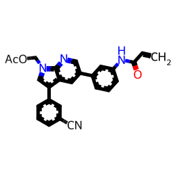 C=CC(=O)Nc1cccc(-c2cnc3c(c2)c(-c2cccc(C#N)c2)cn3COC(C)=O)c1